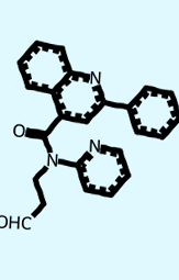 O=CCCN(C(=O)c1cc(-c2ccccc2)nc2ccccc12)c1ccccn1